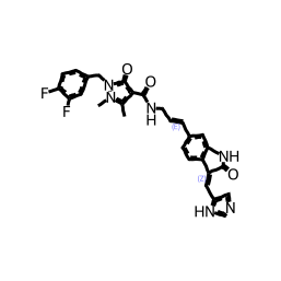 Cc1c(C(=O)NC/C=C/c2ccc3c(c2)NC(=O)/C3=C\c2cnc[nH]2)c(=O)n(Cc2ccc(F)c(F)c2)n1C